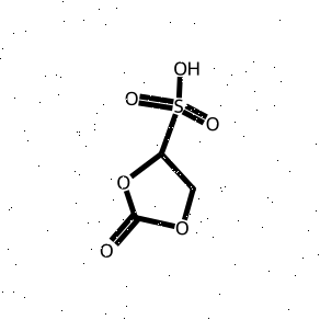 O=C1OCC(S(=O)(=O)O)O1